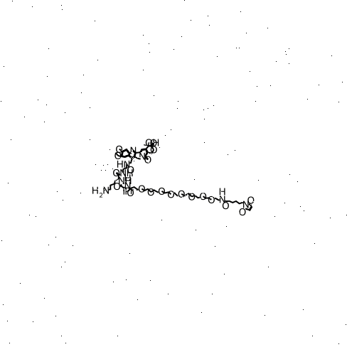 CC(C)[C@H](NC(=O)CCOCCOCCOCCOCCOCCOCCOCCOCCNC(=O)CCCCCN1C(=O)C=CC1=O)C(=O)N[C@@H](CCCCN)C(=O)NCC(=O)NCc1c2c(nc3cc4c(cc13)OCO4)-c1cc3c(c(=O)n1C2)COC(=O)[C@@]3(C)O